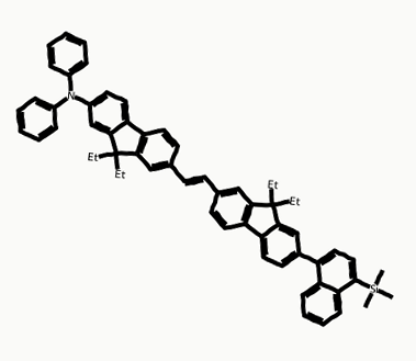 CCC1(CC)c2cc(/C=C/c3ccc4c(c3)C(CC)(CC)c3cc(N(c5ccccc5)c5ccccc5)ccc3-4)ccc2-c2ccc(-c3ccc([Si](C)(C)C)c4ccccc34)cc21